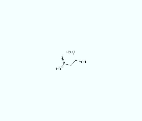 OCCC(O)=S.[PbH2]